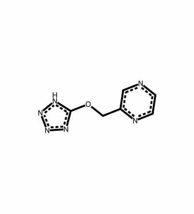 c1cnc(COc2nnn[nH]2)cn1